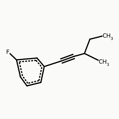 CCC(C)C#Cc1cccc(F)c1